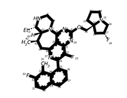 CC[C@@H]1NCCN2c3nc(OC[C@@]45CCCN4C[C@H](F)C5)nc4c(F)c(-c5cccc6ccc(F)c(C)c56)nc(c34)C[C@@H](C)[C@H]12